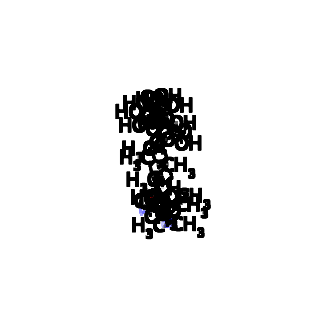 C/C=C(/C)C(=O)O[C@H]1[C@H](OC(=O)/C(C)=C\C)[C@@]2(CO)C(CC1(C)C)C1=CCC3[C@@]4(C)CC[C@H](O[C@@H]5OC(C(=O)O)[C@@H](O)[C@@](O)(O[C@@H]6O[C@@H](CO)C(O)[C@@H]6O)C5O[C@@H]5OC(CO)[C@H](O)C(O)[C@@H]5O)C(C)(C)C4CC[C@@]3(C)[C@]1(C)C[C@H]2O